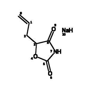 C=CCC1OC(=O)NC1=O.[NaH]